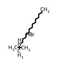 Br.CCCCCCCCCCCCCCNC(C)(C)C